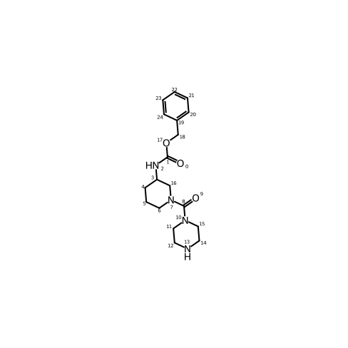 O=C(NC1CCCN(C(=O)N2CCNCC2)C1)OCc1ccccc1